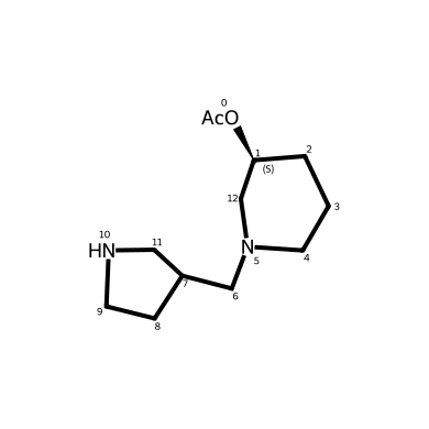 CC(=O)O[C@H]1CCCN(CC2CCNC2)C1